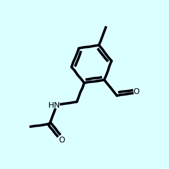 CC(=O)NCc1ccc(C)cc1C=O